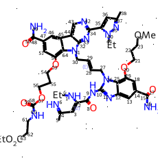 CCN/C(=C\C(C)=N)C(=O)Nc1nc2cc(C(N)=O)cc(OCCCOC)c2n1C/C=C/Cn1c2nc(-c3cc(C)nn3CC)ncc2c2cc(C(N)=O)cc(OCCCOC(=O)NCCC(=O)OCC)c21